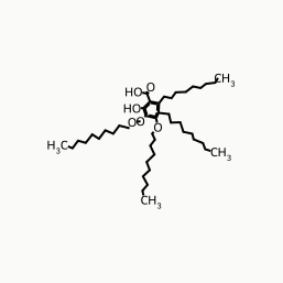 CCCCCCCCCCOOc1c(O)c(C(=O)O)c(CCCCCCCCC)c(CCCCCCCCC)c1OCCCCCCCCCC